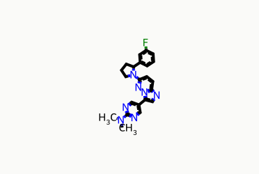 CN(C)c1ncc(-c2cnc3ccc(N4CCCC4c4cccc(F)c4)nn23)cn1